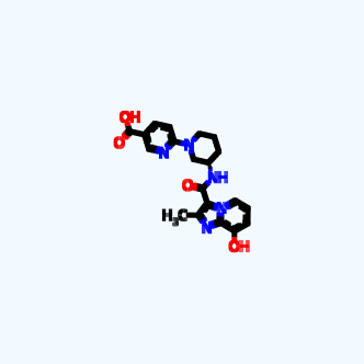 Cc1nc2c(O)cccn2c1C(=O)N[C@H]1CCCN(c2ccc(C(=O)O)cn2)C1